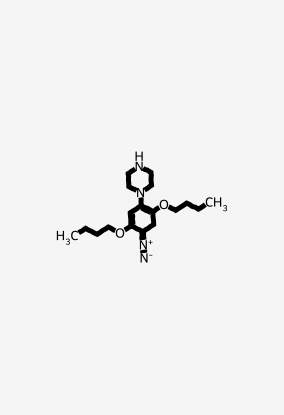 CCCCOC1=CC(N2CCNCC2)=C(OCCCC)CC1=[N+]=[N-]